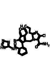 CCCc1nc(Cl)c(C(N)=O)n1Cc1c2ccocc-2c(Br)c1-c1ccccc1C(=O)Nc1nnn[nH]1